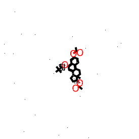 CC(=O)Oc1ccc2c3c(cc(O[Si](C)(C)C(C)(C)C)c2c1)C1CC[C@H](OC(C)=O)C1(C)CC3